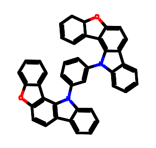 C1=CCC2Oc3ccc4c5ccccc5n(-c5cccc(-n6c7ccccc7c7ccc8oc9ccccc9c8c76)c5)c4c3C2=C1